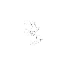 CN(CCN(C)C(=O)O)Cc1cn(C2CCCCO2)nc1C1=CC(O[Si](C)(C)C(C)(C)C)C(C)(C)CC1